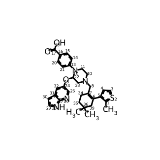 Cc1sccc1C1=C(CN2CCN(c3ccc(C(=O)O)cc3)C(Oc3cnc4[nH]ccc4c3)C2)CCC(C)(C)C1